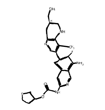 Cc1c(-c2cc3cc(NC(=O)OC4CCOC4)ncc3c(N)c2F)cnc2c1NC[C@H](CO)C2